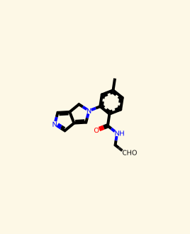 Cc1ccc(C(=O)NCC=O)c(N2C=C3C=NC=C3C2)c1